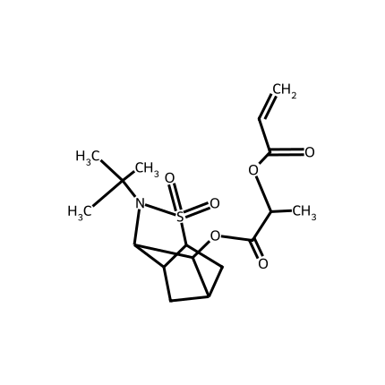 C=CC(=O)OC(C)C(=O)OC1C2CC3C1N(C(C)(C)C)S(=O)(=O)C3C2